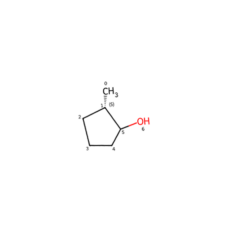 C[C@H]1CCCC1O